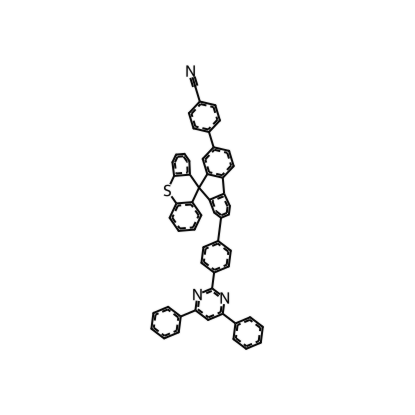 N#Cc1ccc(-c2ccc3c(c2)C2(c4ccccc4Sc4ccccc42)c2cc(-c4ccc(-c5nc(-c6ccccc6)cc(-c6ccccc6)n5)cc4)ccc2-3)cc1